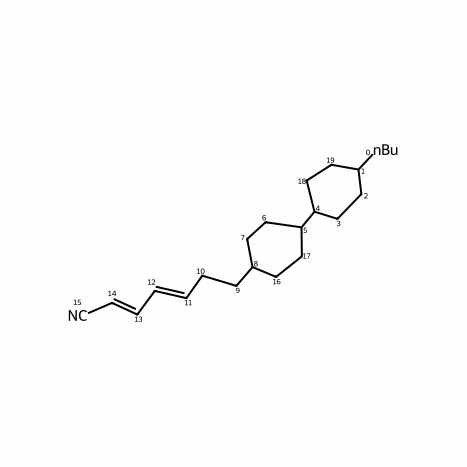 CCCCC1CCC(C2CCC(CCC=CC=CC#N)CC2)CC1